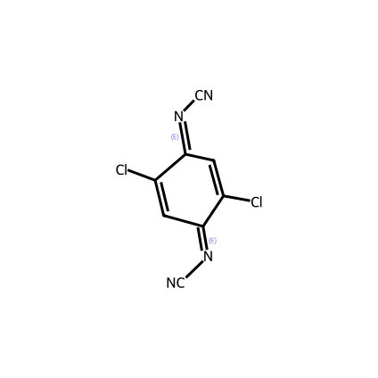 N#C/N=C1C=C(Cl)/C(=N/C#N)C=C\1Cl